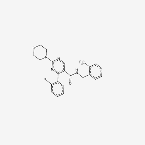 O=C(NCc1ccccc1C(F)(F)F)c1cnc(N2CCOCC2)nc1-c1ccccc1F